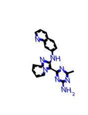 Cc1nc(N)nc(-c2c(Nc3ccc4cccnc4c3)nc3ccccn23)n1